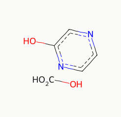 O=C(O)O.Oc1cnccn1